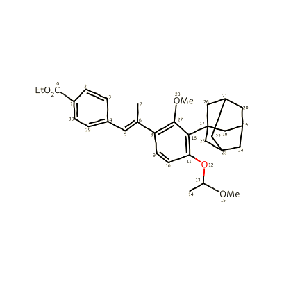 CCOC(=O)c1ccc(C=C(C)c2ccc(OC(C)OC)c(C34CC5CC(CC(C5)C3)C4)c2OC)cc1